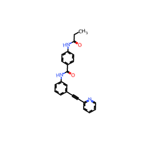 CCC(=O)Nc1ccc(C(=O)Nc2cccc(C#Cc3ccccn3)c2)cc1